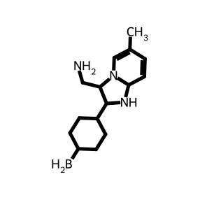 BC1CCC(C2NC3C=CC(C)=CN3C2CN)CC1